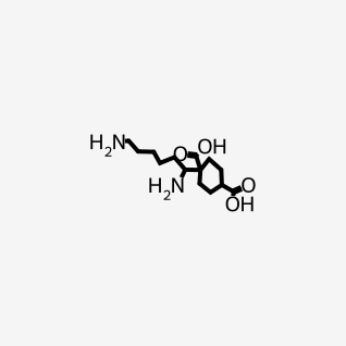 NCCCCCC(N)C1(C(=O)O)CCC(C(=O)O)CC1